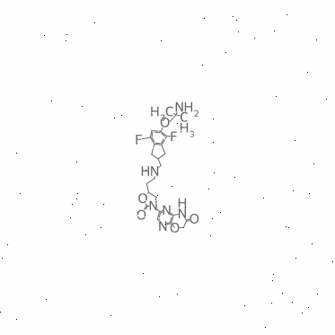 CC(C)(N)COc1cc(F)c2c(c1F)CC(CNCCC1CN(c3cnc4c(n3)NC(=O)CO4)C(=O)O1)C2